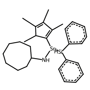 CC1=C(C)C(C)[C]([Sn]([NH]C2CCCCCCC2)[SiH](c2ccccc2)c2ccccc2)=C1C